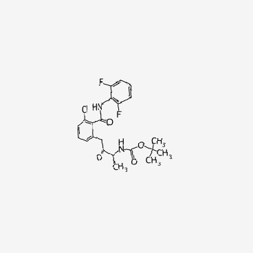 C[C@H](NC(=O)OC(C)(C)C)C(=O)Cc1cccc(Cl)c1C(=O)Nc1c(F)cccc1F